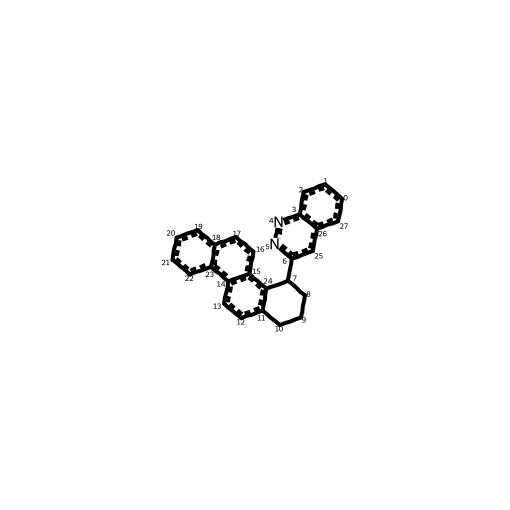 c1ccc2nnc(C3CCCc4ccc5c(ccc6ccccc65)c43)cc2c1